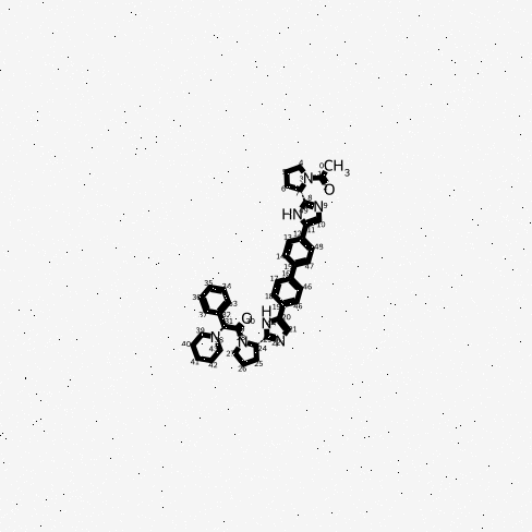 CC(=O)N1CCC[C@H]1c1ncc(-c2ccc(-c3ccc(-c4cnc([C@@H]5CCCN5C(=O)[C@@H](c5ccccc5)N5CCCCC5)[nH]4)cc3)cc2)[nH]1